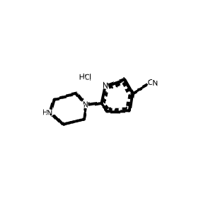 Cl.N#Cc1ccc(N2CCNCC2)nc1